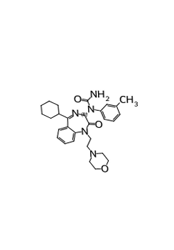 Cc1cccc(N(C(N)=O)[C@H]2N=C(C3CCCCC3)c3ccccc3N(CCN3CCOCC3)C2=O)c1